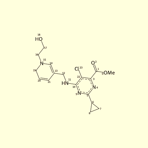 COC(=O)c1nc(C2CC2)nc(NCC2=CN(CCO)CC=C2)c1Cl